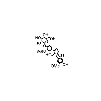 COc1cc(CC2(O)COC(c3ccc(O[C@@H]4O[C@H](CO)[C@@H](O)[C@H](O)[C@H]4O)c(OC)c3)C2CO)ccc1O